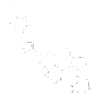 C[C@H](Nc1nccc(N2C(=O)NCC2c2ccccc2)n1)c1cn(-c2ccc(Cl)cc2)cn1